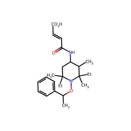 CCC1(C)CC(NC(=O)/C=C/C(=O)O)C(C)C(C)(CC)N1OC(C)c1ccccc1